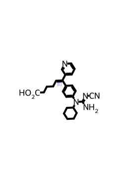 N#CN=C(N)N(c1ccc(/C(=C\CCCC(=O)O)c2cccnc2)cc1)C1CCCCC1